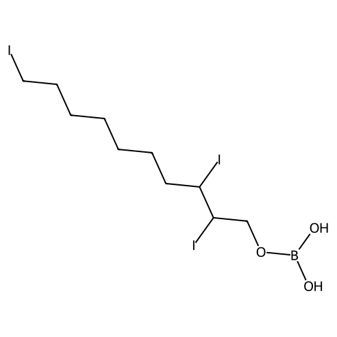 OB(O)OCC(I)C(I)CCCCCCCI